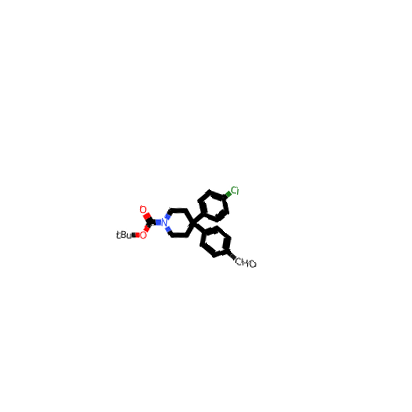 CC(C)(C)OC(=O)N1CCC(c2ccc(Cl)cc2)(c2ccc(C=O)cc2)CC1